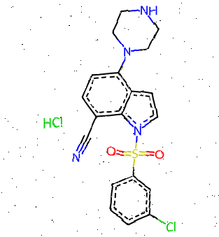 Cl.N#Cc1ccc(N2CCNCC2)c2ccn(S(=O)(=O)c3cccc(Cl)c3)c12